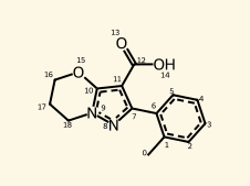 Cc1ccccc1-c1nn2c(c1C(=O)O)OCCC2